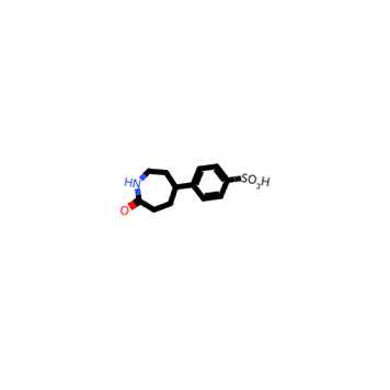 O=C1CCC(c2ccc(S(=O)(=O)O)cc2)CCN1